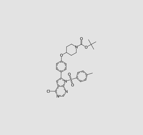 Cc1ccc(S(=O)(=O)n2c(-c3ccc(OC4CCN(C(=O)OC(C)(C)C)CC4)cc3)cc3c(Cl)ncnc32)cc1